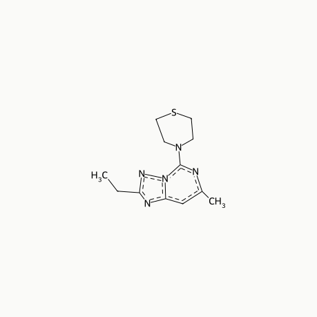 CCc1nc2cc(C)nc(N3CCSCC3)n2n1